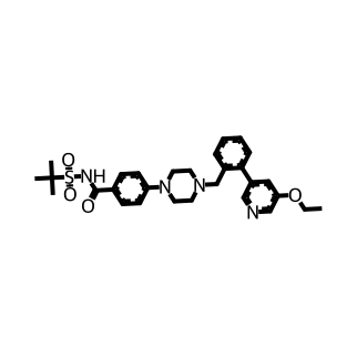 CCOc1cncc(-c2ccccc2CN2CCN(c3ccc(C(=O)NS(=O)(=O)C(C)(C)C)cc3)CC2)c1